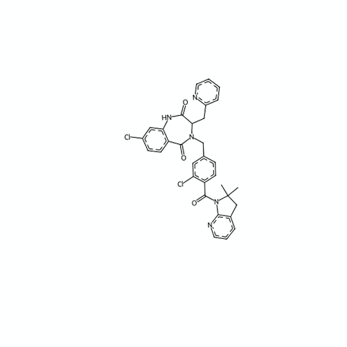 CC1(C)Cc2cccnc2N1C(=O)c1ccc(CN2C(=O)c3ccc(Cl)cc3NC(=O)C2Cc2ccccn2)cc1Cl